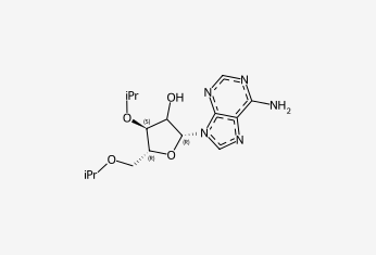 CC(C)OC[C@H]1O[C@@H](n2cnc3c(N)ncnc32)C(O)[C@@H]1OC(C)C